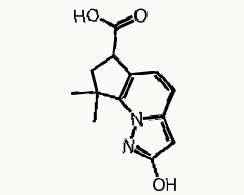 CC1(C)CC(C(=O)O)c2ccc3cc(O)nn3c21